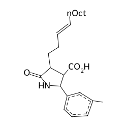 CCCCCCCCC=CCCC1C(=O)NC(c2cccc(C)c2)C1C(=O)O